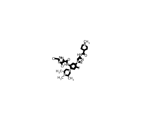 C[C@@H]1CN(c2cc(F)c(-n3cc(NC(=O)C4CCN(C)CC4)nn3)cc2NC(=O)c2nnc(Cl)nc2Cl)C[C@H](C)N1C